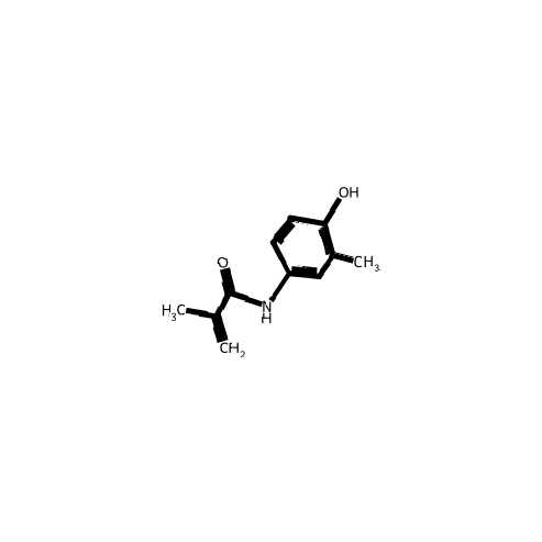 C=C(C)C(=O)Nc1ccc(O)c(C)c1